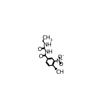 C#Cc1ccc(C(=O)NC(=O)NCC)cc1[N+](=O)[O-]